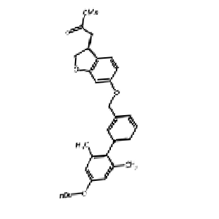 CCCCOc1cc(C)c(-c2cccc(COc3ccc4c(c3)OCC4CC(=O)OC)c2)c(C)c1